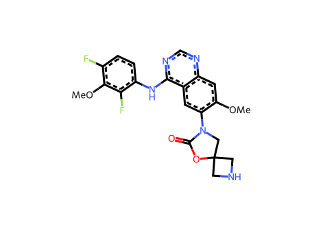 COc1cc2ncnc(Nc3ccc(F)c(OC)c3F)c2cc1N1CC2(CNC2)OC1=O